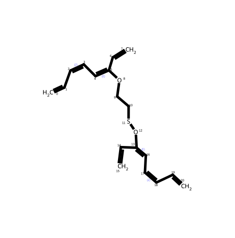 C=C/C=C\C=C(/C=C)OCCSO/C(C=C)=C/C=C\C=C